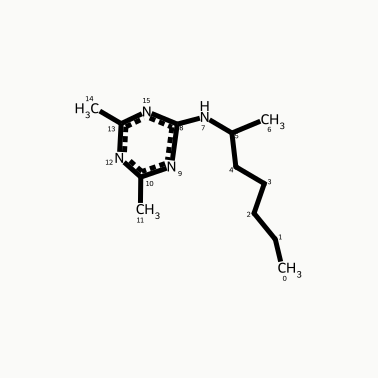 CCCCCC(C)Nc1nc(C)nc(C)n1